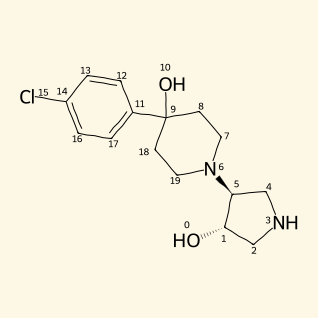 O[C@H]1CNC[C@@H]1N1CCC(O)(c2ccc(Cl)cc2)CC1